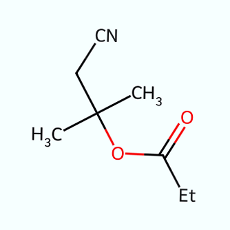 [CH2]CC(=O)OC(C)(C)CC#N